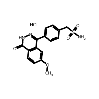 COc1ccc2c(=O)[nH]nc(-c3ccc(CS(N)(=O)=O)cc3)c2c1.Cl